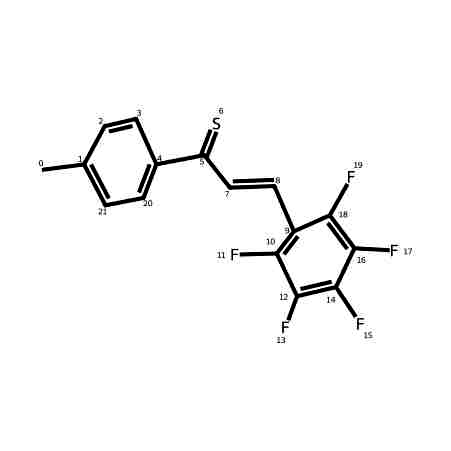 Cc1ccc(C(=S)C=Cc2c(F)c(F)c(F)c(F)c2F)cc1